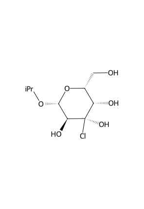 CC(C)O[C@@H]1O[C@H](CO)[C@H](O)[C@@](O)(Cl)[C@H]1O